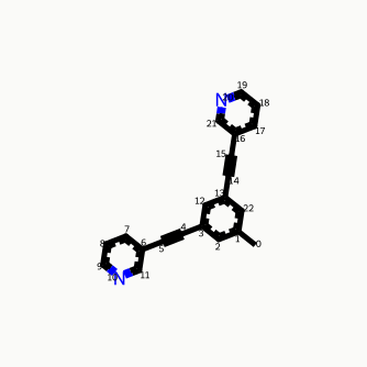 Cc1cc(C#Cc2cccnc2)cc(C#Cc2cccnc2)c1